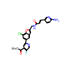 COC(=O)c1cc(-c2cc(Cl)c3oc(CNC(=O)/C=C/c4ccc(N)nc4)cc3c2)ncc1F